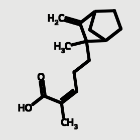 C=C1C2CCC(C2)C1(C)CC/C=C(/C)C(=O)O